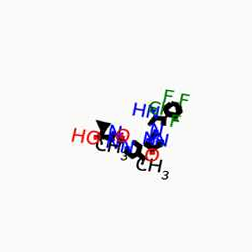 C[C@H](Oc1cnc(N2C[C@H](NCl)[C@@H](c3cc(F)c(F)cc3F)C2)nc1)C1CCN(c2nc([C@](C)(O)C3CC3)no2)CC1